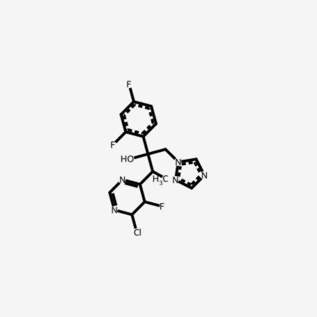 CC(C1=NC=NC(Cl)C1F)C(O)(Cn1cncn1)c1ccc(F)cc1F